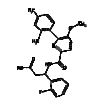 COc1ccc(C(=O)NC(CC(=O)O)c2ccccc2F)nc1-c1ccc(C)cc1C